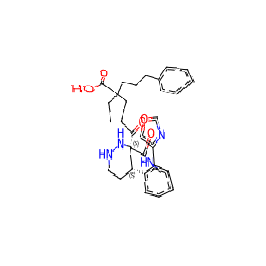 CCC(CCCc1ccccc1)(CCC(=O)[C@@]1(C(=O)NC)NNCC[C@H]1c1ccccc1-c1cocn1)C(=O)O